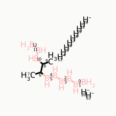 BBBBBBC(C)C(C)BBB.[H-].[H-].[H-].[H-].[H-].[H-].[H-].[H-].[H-].[H-].[H-]